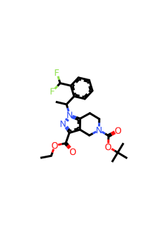 CCOC(=O)c1nn(C(C)c2ccccc2C(F)F)c2c1CN(C(=O)OC(C)(C)C)CC2